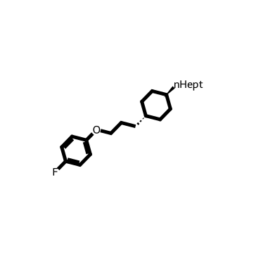 CCCCCCC[C@H]1CC[C@H](CCCOc2ccc(F)cc2)CC1